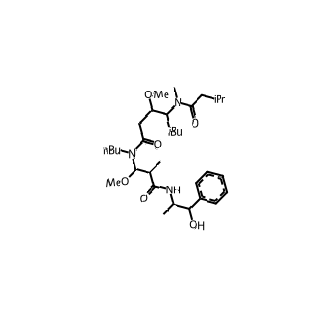 CCCCN(C(=O)CC(OC)C(C(C)CC)N(C)C(=O)CC(C)C)C(OC)C(C)C(=O)NC(C)C(O)c1ccccc1